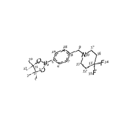 CC1(C)OB(c2ccc(CN3CCC(F)(F)CC3)cc2)OC1(C)C